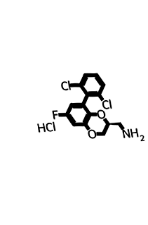 Cl.NC[C@H]1COc2cc(F)cc(-c3c(Cl)cccc3Cl)c2O1